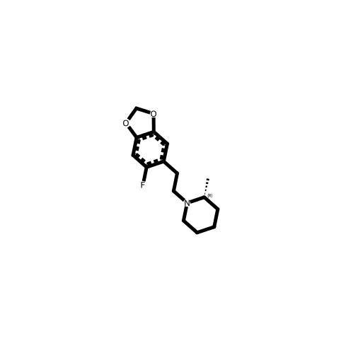 C[C@@H]1CCCCN1CCc1cc2c(cc1F)OCO2